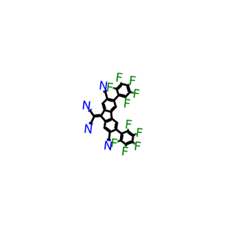 N#CC(C#N)=C1c2cc(C#N)c(-c3c(F)c(F)c(F)c(F)c3F)cc2-c2cc(-c3c(F)c(F)c(F)c(F)c3F)c(C#N)cc21